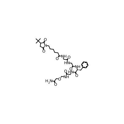 CC(C)(C)C1CC(=O)N(CCCCCC(=O)NCC(=O)NCC(=O)N[C@@H](Cc2ccccc2)C(=O)NCC(=O)NCOCC(N)=O)C1=O